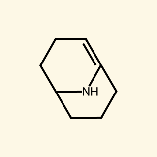 C1=C2CCCC(CC1)N2